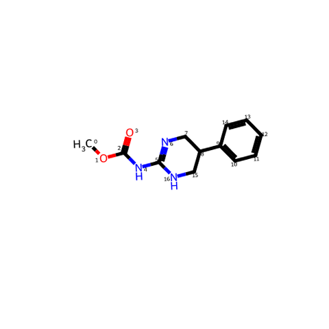 COC(=O)NC1=NCC(c2ccccc2)CN1